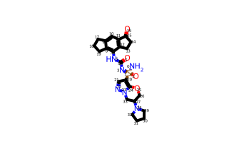 NS(=O)(=NC(=O)Nc1c2c(cc3c1CCC3=O)CCC2)c1cnn2c1OCC(N1CCCC1)C2